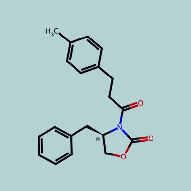 Cc1ccc(CCC(=O)N2C(=O)OC[C@H]2Cc2ccccc2)cc1